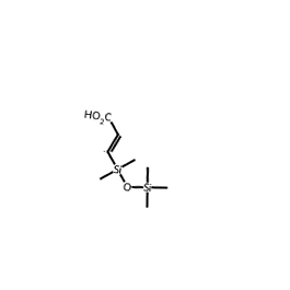 C[Si](C)(C)O[Si](C)(C)[C]=CC(=O)O